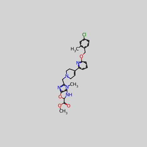 COC(=O)C1Nc2c(nc(CN3CC=C(c4cccc(OCc5ccc(Cl)cc5C)n4)CC3)n2C)O1